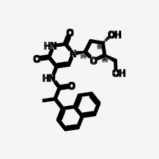 CC(C(=O)Nc1cn([C@H]2C[C@H](O)[C@@H](CO)O2)c(=O)[nH]c1=O)c1cccc2ccccc12